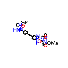 COC(=O)N[C@H](C(=O)N1C[C@@]2(CCCO2)C[C@H]1c1nc2cc(C#Cc3ccc(-c4c[nH]c([C@@H]5CCCN5C(=O)[C@@H](C)C(C)C)n4)cc3)ccc2[nH]1)C(C)C